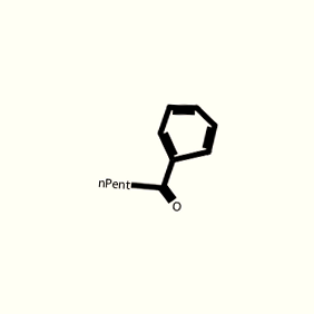 CCCCCC(=O)c1cc[c]cc1